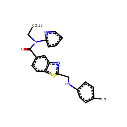 CCOC(=O)CN(C(=O)c1ccc2sc(CNc3ccc(C#N)cc3)nc2c1)c1ccccn1